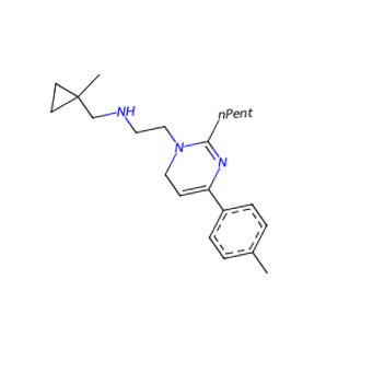 CCCCCC1=NC(c2ccc(C)cc2)=CCN1CCNCC1(C)CC1